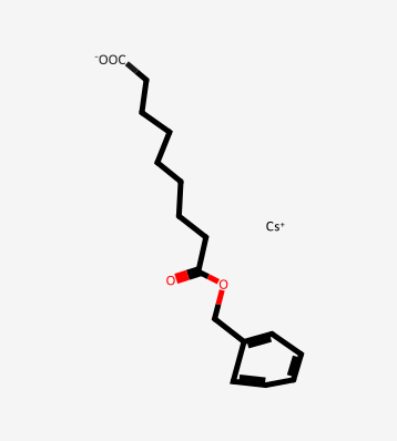 O=C([O-])CCCCCCCC(=O)OCc1ccccc1.[Cs+]